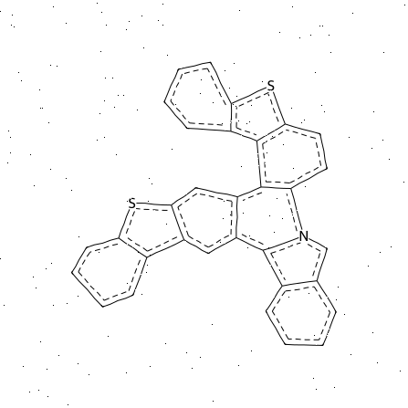 c1ccc2c(c1)cn1c3ccc4sc5ccccc5c4c3c3cc4sc5ccccc5c4cc3c21